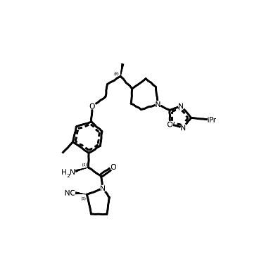 Cc1cc(OCC[C@@H](C)C2CCN(c3nc(C(C)C)no3)CC2)ccc1[C@H](N)C(=O)N1CCC[C@H]1C#N